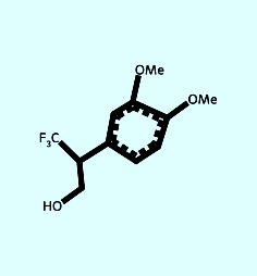 COc1ccc(C(CO)C(F)(F)F)cc1OC